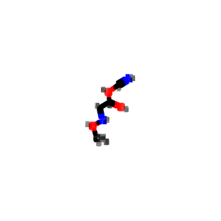 CON=CC(=O)OC#N